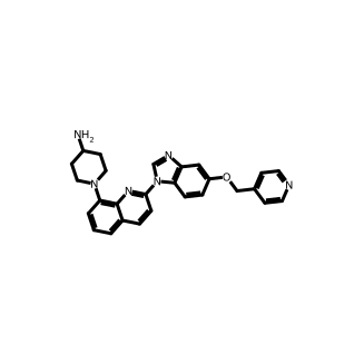 NC1CCN(c2cccc3ccc(-n4cnc5cc(OCc6ccncc6)ccc54)nc23)CC1